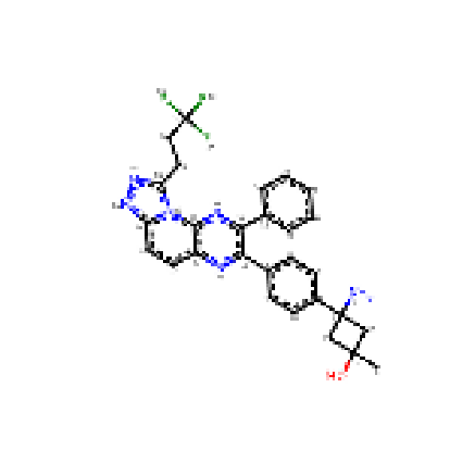 CC1(O)CC(N)(c2ccc(-c3nc4ccc5nnc(CCC(F)(F)F)n5c4nc3-c3ccccc3)cc2)C1